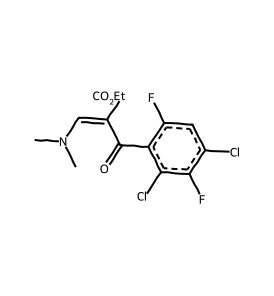 CCOC(=O)/C(=C/N(C)C)C(=O)c1c(F)cc(Cl)c(F)c1Cl